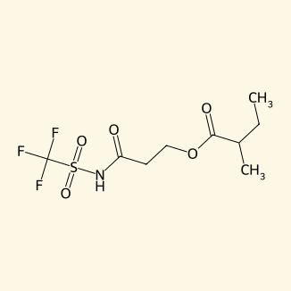 CCC(C)C(=O)OCCC(=O)NS(=O)(=O)C(F)(F)F